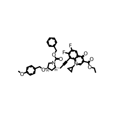 CCOC(=O)c1cn(C2CC2)c2c(C#CC[C@@H]3C[C@@H](OCc4ccc(OC)cc4)CN3C(=O)OCc3ccccc3)c(F)c(F)cc2c1=O